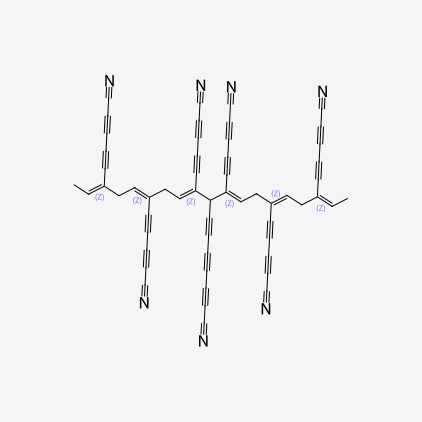 C/C=C(\C#CC#CC#N)C/C=C(\C#CC#CC#N)C/C=C(\C#CC#CC#N)C(C#CC#CC#CC#N)/C(C#CC#CC#N)=C/C/C(C#CC#CC#N)=C/C/C(C#CC#CC#N)=C/C